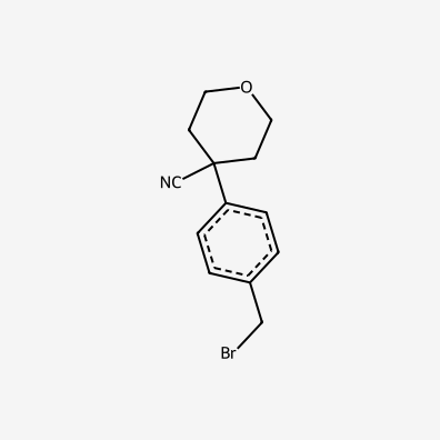 N#CC1(c2ccc(CBr)cc2)CCOCC1